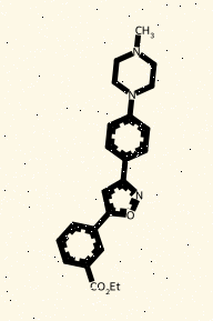 CCOC(=O)c1cccc(-c2cc(-c3ccc(N4CCN(C)CC4)cc3)no2)c1